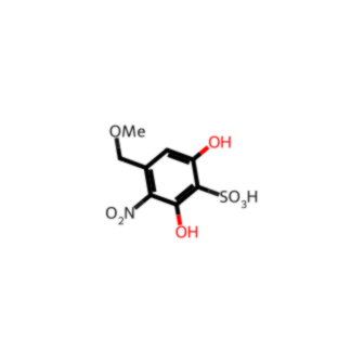 COCc1cc(O)c(S(=O)(=O)O)c(O)c1[N+](=O)[O-]